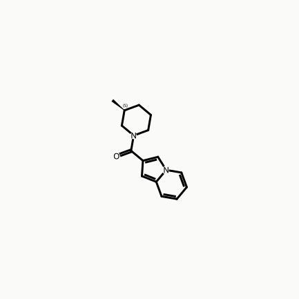 C[C@H]1CCCN(C(=O)c2cc3ccccn3c2)C1